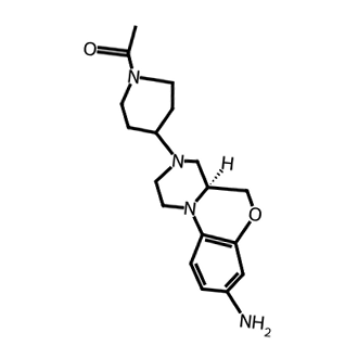 CC(=O)N1CCC(N2CCN3c4ccc(N)cc4OC[C@@H]3C2)CC1